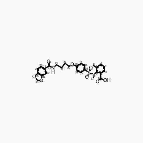 Cc1cccc(C(=O)O)c1N(C)S(=O)(=O)c1ccc(OCCCCNC(=O)c2ccc3c(c2)OCO3)cc1